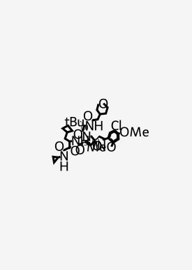 COc1cc(OC)c(C2=NO[C@]3(C2)C[C@@H](C(=O)NC(CC2CCC2)C(=O)C(=O)NC2CC2)N(C(=O)[C@@H](NC(=O)CC2CCOCC2)C(C)(C)C)C3)cc1Cl